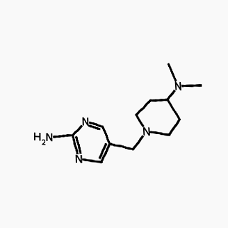 CN(C)C1CCN(Cc2cnc(N)nc2)CC1